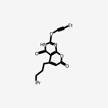 CCC#COc1nc2oc(=O)cc(CCCC(C)C)c2c(=O)[nH]1